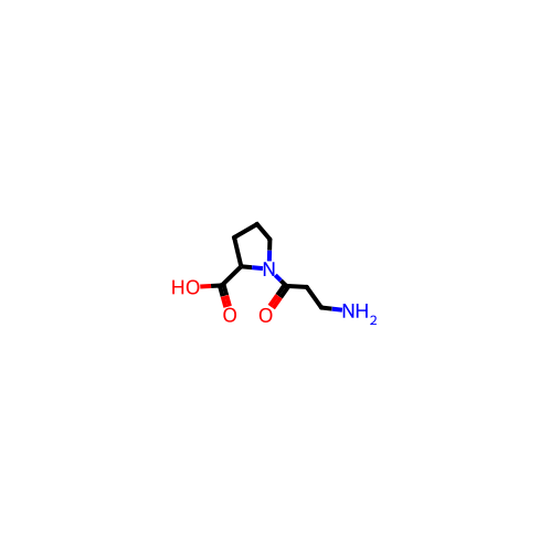 NCCC(=O)N1CCCC1C(=O)O